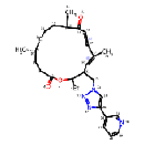 CCC1OC(=O)CC[C@H](C)CCC[C@@H](C)C(=O)/C=C/C(C)=C/C1Cn1cc(-c2cccnc2)nn1